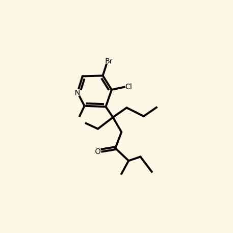 CCCC(CC)(CC(=O)C(C)CC)c1c(C)ncc(Br)c1Cl